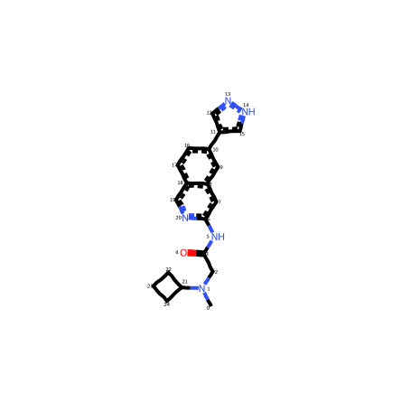 CN(CC(=O)Nc1cc2cc(-c3cn[nH]c3)ccc2cn1)C1CCC1